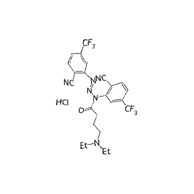 CCN(CC)CCCC(=O)N(N=Nc1cc(C(F)(F)F)ccc1C#N)c1cc(C(F)(F)F)ccc1C#N.Cl